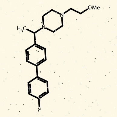 COCCN1CCN(C(C)c2ccc(-c3ccc(F)cc3)cc2)CC1